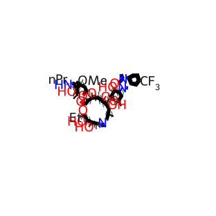 CCCNC[C@]1(O)[C@H](C)O[C@@H](O[C@H]2[C@H](C)[C@@H](O[C@@H]3O[C@H](C)C[C@H](N(C)C(=O)N(C)c4ccc(C(F)(F)F)cc4)[C@H]3O)[C@](C)(O)C[C@@H](C)CN(C)[C@H](C)[C@@H](O)[C@](C)(O)[C@@H](CC)OC(=O)[C@@H]2C)C[C@@]1(C)OC